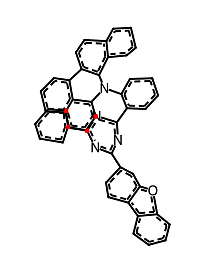 c1ccc(-c2nc(-c3ccc4c(c3)oc3ccccc34)nc(-c3ccccc3N3c4c(ccc5ccccc45)-c4cccc5cccc3c45)n2)cc1